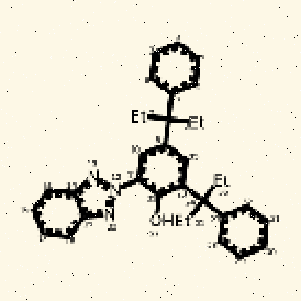 CCC(CC)(c1ccccc1)c1cc(-n2nc3ccccc3n2)c(O)c(C(CC)(CC)c2ccccc2)c1